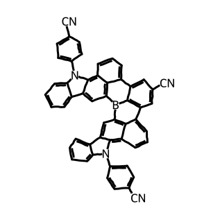 N#Cc1ccc(-n2c3ccccc3c3cc4c5c(cccc5c32)-c2cc(C#N)cc3c2B4c2cc4c5ccccc5n(-c5ccc(C#N)cc5)c4c4cccc-3c24)cc1